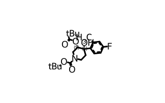 Cc1cc(F)ccc1[C@@]1(O)CCN(C(=O)OC(C)(C)C)C[C@@H]1OC(=O)C(C)(C)C